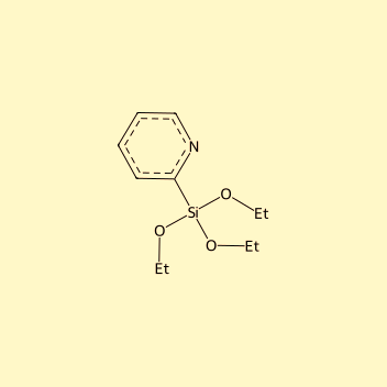 CCO[Si](OCC)(OCC)c1ccccn1